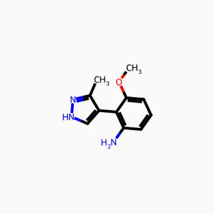 COc1cccc(N)c1-c1c[nH]nc1C